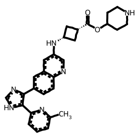 Cc1cccc(-c2[nH]cnc2-c2ccc3ncc(N[C@H]4C[C@@H](C(=O)OC5CCNCC5)C4)cc3c2)n1